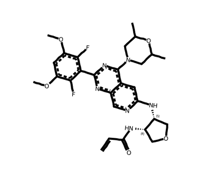 C=CC(=O)N[C@H]1COC[C@H]1Nc1cc2c(N3CC(C)OC(C)C3)nc(-c3c(F)c(OC)cc(OC)c3F)nc2cn1